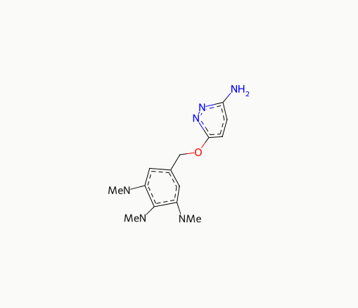 CNc1cc(COc2ccc(N)nn2)cc(NC)c1NC